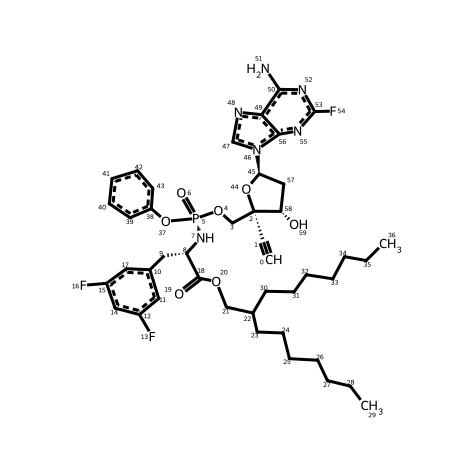 C#C[C@]1(CO[P@@](=O)(N[C@@H](Cc2cc(F)cc(F)c2)C(=O)OCC(CCCCCCC)CCCCCCC)Oc2ccccc2)O[C@@H](n2cnc3c(N)nc(F)nc32)C[C@@H]1O